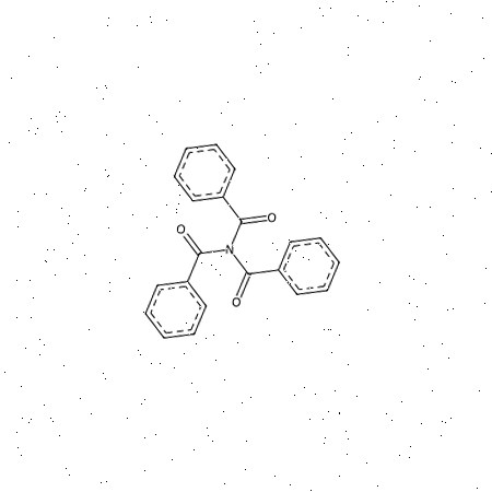 O=C(c1ccccc1)N(C(=O)c1ccccc1)C(=O)c1ccccc1